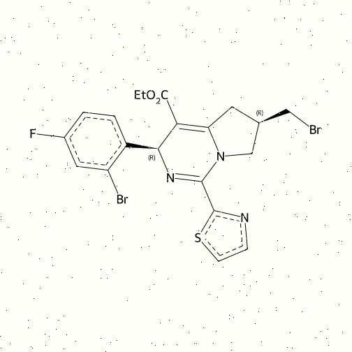 CCOC(=O)C1=C2C[C@@H](CBr)CN2C(c2nccs2)=N[C@H]1c1ccc(F)cc1Br